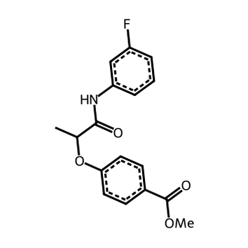 COC(=O)c1ccc(OC(C)C(=O)Nc2cccc(F)c2)cc1